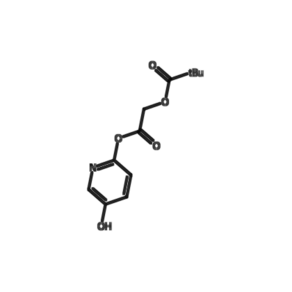 CC(C)(C)C(=O)OCC(=O)Oc1ccc(O)cn1